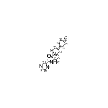 CC(C)C(NCc1cnccn1)C(=O)N1CCC(c2ccc(Cl)cc2)CC1